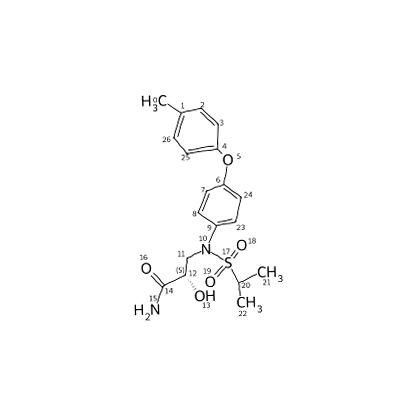 Cc1ccc(Oc2ccc(N(C[C@H](O)C(N)=O)S(=O)(=O)C(C)C)cc2)cc1